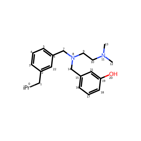 CC(C)Cc1cccc(CN(CCN(C)C)Cc2cccc(O)c2)c1